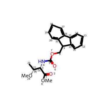 COC(=O)[C@@H](NC(=O)OCC1c2ccccc2-c2ccccc21)[C@@H](C)OC